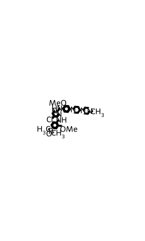 COCc1cc(P(C)(C)=O)ccc1Nc1nc(Nc2ccc(N3CCC(N4CCN(C)CC4)CC3)cc2OC)ncc1Cl